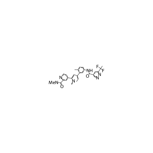 C=N/C(=C\C(=C/C)c1cc(NC(=O)c2cnnc(C(C)(F)F)c2)ccc1C)c1ccnc(C(=O)NC)c1